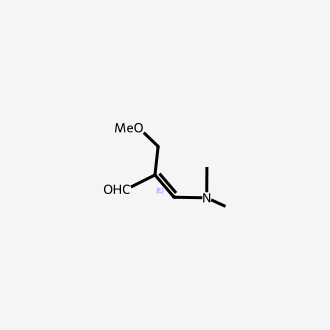 COC/C(C=O)=C\N(C)C